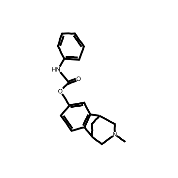 CN1CC2CC(C1)c1cc(OC(=O)Nc3ccccc3)ccc12